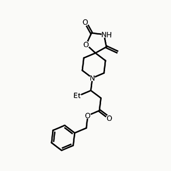 C=C1NC(=O)OC12CCN(C(CC)CC(=O)OCc1ccccc1)CC2